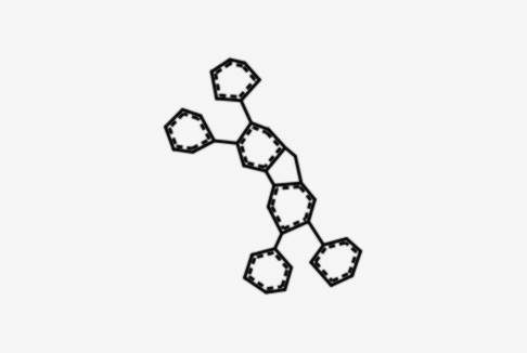 [c]1c2c(cc(-c3ccccc3)c1-c1ccccc1)-c1cc(-c3ccccc3)c(-c3ccccc3)cc1C2